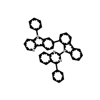 c1ccc(-c2nc(-n3c4ccccc4c4cccc(-c5ccc6c7ncccc7n(-c7ccccc7)c6c5)c43)nc3ccccc23)cc1